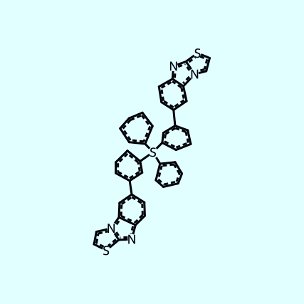 c1ccc(S(c2ccccc2)(c2cccc(-c3ccc4nc5sccn5c4c3)c2)c2cccc(-c3ccc4nc5sccn5c4c3)c2)cc1